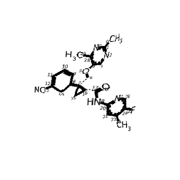 Cc1ncc(OC[C@@]2(C3C=CC=C(C#N)C3)C[C@H]2C(=O)Nc2cc(C)c(F)cn2)c(C)n1